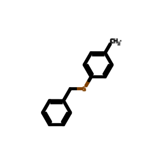 [CH2]c1ccc(SCc2ccccc2)cc1